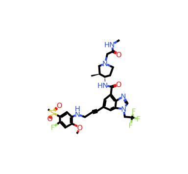 CNC(=O)CN1CC[C@H](NC(=O)c2cc(C#CCNc3cc(S(C)(=O)=O)c(F)cc3OC)cc3c2ncn3CC(F)(F)F)[C@@H](C)C1